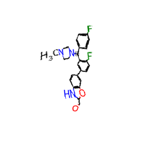 CN1CCN([C@@H](c2ccc(F)cc2)c2cc(-c3ccc4c(c3)OC(C=O)N4)ccc2F)CC1